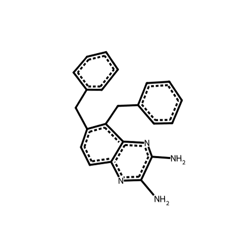 Nc1nc2ccc(Cc3ccccc3)c(Cc3ccccc3)c2nc1N